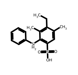 CCc1c(C)cc(S(=O)(=O)O)c([SiH2]c2ccccc2)c1C